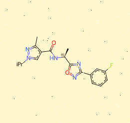 Cc1nn(C(C)C)cc1C(=O)N[C@@H](C)c1nc(-c2cccc(F)c2)no1